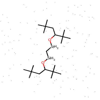 CC(C)(C)CC(O[SiH2]C[SiH2]OC(CC(C)(C)C)C(C)(C)C)C(C)(C)C